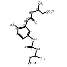 CCOC(=O)CC(C)NC(=O)Nc1ccc(C)c(NC(=O)NC(C)CC(=O)OCC)c1